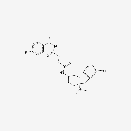 CC(NC(=O)CCC(=O)NC1CCC(Cc2cccc(Cl)c2)(N(C)C)CC1)c1ccc(F)cc1